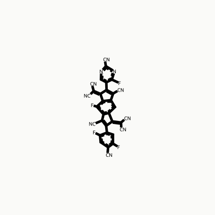 N#CC(C#N)=C1C(c2cc(F)c(C#N)cc2F)=C(C#N)c2c1cc1c(c2F)C(=C(C#N)C#N)C(c2cnc(C#N)nc2F)=C1C#N